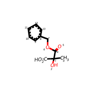 CC(O)(C(=O)O)C(=O)OCc1ccccc1